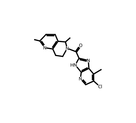 Cc1ccc2c(n1)CCN(C(=O)c1nc3c(C)c(Cl)cnc3[nH]1)C2C